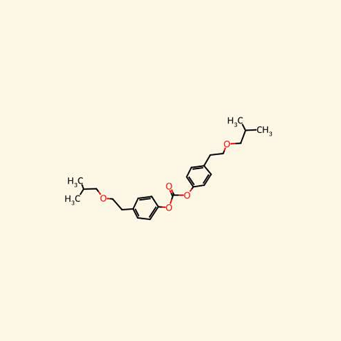 CC(C)COCCc1ccc(OC(=O)Oc2ccc(CCOCC(C)C)cc2)cc1